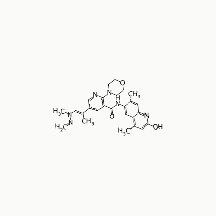 C=NN(C)/C=C(\C)c1cnc(N2CCOCC2)c(C(=O)Nc2cc3c(C)cc(O)nc3cc2C)c1